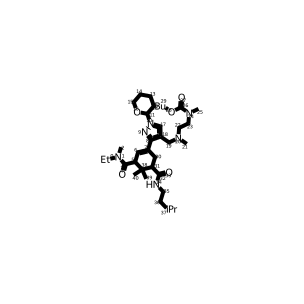 CCN(C)C(=O)C1C=C(c2nn(C3CCCCO3)cc2CN(C)CCN(C)C(=O)OC(C)(C)C)CC(C(=O)NCCC(C)C)C1(C)C